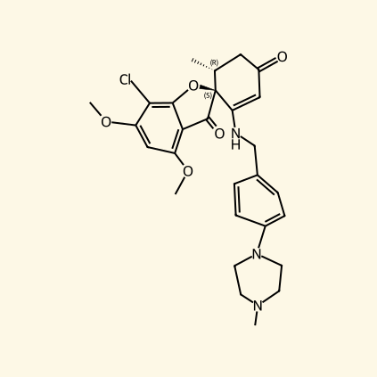 COc1cc(OC)c2c(c1Cl)O[C@]1(C2=O)C(NCc2ccc(N3CCN(C)CC3)cc2)=CC(=O)C[C@H]1C